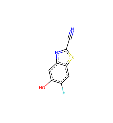 N#Cc1nc2cc(O)c(F)cc2s1